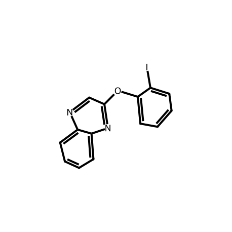 Ic1ccccc1Oc1cnc2ccccc2n1